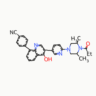 CCC(=O)N1C(C)CN(c2ccc(-c3cnc4c(-c5ccc(C#N)cc5)cccc4c3O)cn2)CC1C